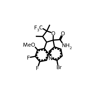 COc1c(C2C(C)C(C)(C(F)(F)F)OC2(C(N)=O)c2ccc(Br)nc2)ccc(F)c1F